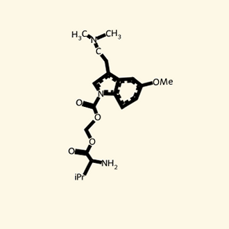 COc1ccc2c(c1)c(CCN(C)C)cn2C(=O)OCOC(=O)C(N)C(C)C